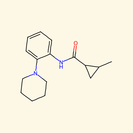 CC1CC1C(=O)Nc1ccccc1N1CCCCC1